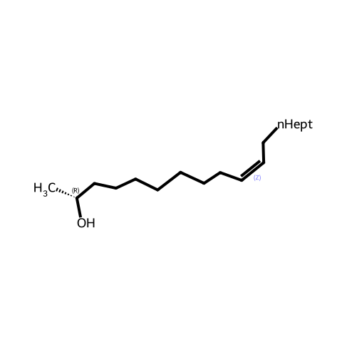 CCCCCCCC/C=C\CCCCCCC[C@@H](C)O